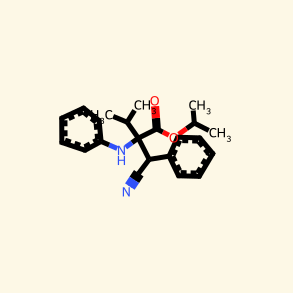 CC(C)OC(=O)C(Nc1ccccc1)(C(C)C)C(C#N)c1ccccc1